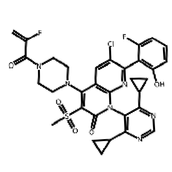 C=C(F)C(=O)N1CCN(c2c(S(C)(=O)=O)c(=O)n(-c3c(C4CC4)ncnc3C3CC3)c3nc(-c4c(O)cccc4F)c(Cl)cc23)CC1